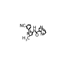 Cc1cc(NC(=O)c2cnn3cccnc23)n(-c2cccc(C#N)c2)n1